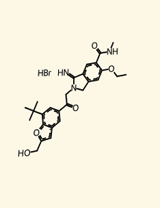 Br.CCOc1cc2c(cc1C(=O)NC)C(=N)N(CC(=O)c1cc(C(C)(C)C)c3oc(CO)cc3c1)C2